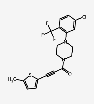 Cc1ccc(C#CC(=O)N2CCN(c3cc(Cl)ccc3C(F)(F)F)CC2)s1